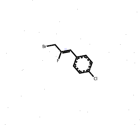 F/C(=C\c1ccc(Cl)cc1)CBr